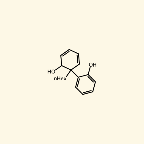 CCCCCCC1(c2ccccc2O)C=CC=CC1O